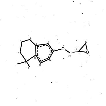 CC1(C)CCCc2cc(OC[C@@H]3CO3)ccc21